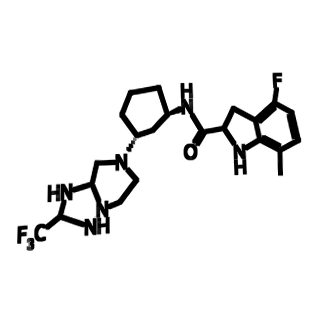 Cc1ccc(F)c2c1NC(C(=O)N[C@@H]1CCC[C@@H](N3CCN4NC(C(F)(F)F)NC4C3)C1)C2